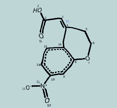 O=C(O)/C=C1/CCOc2cc([N+](=O)[O-])ccc21